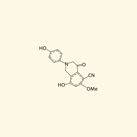 COc1cc(O)c2c(c1C#N)C(=O)CN(c1ccc(O)cc1)C2